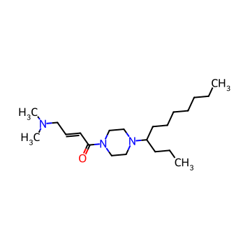 CCCCCCCC(CCC)N1CCN(C(=O)/C=C/CN(C)C)CC1